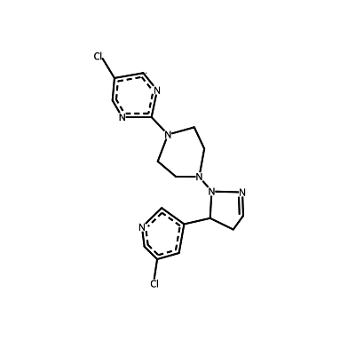 Clc1[c]nc(N2CCN(N3N=CCC3c3cncc(Cl)c3)CC2)nc1